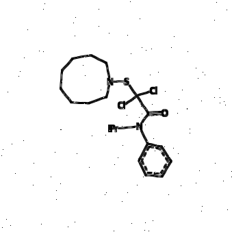 CC(C)N(C(=O)C(Cl)(Cl)SN1CCCCCCCC1)c1ccccc1